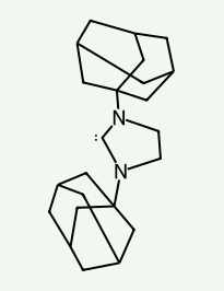 [C]1N(C23CC4CC(CC(C4)C2)C3)CCN1C12CC3CC(CC(C3)C1)C2